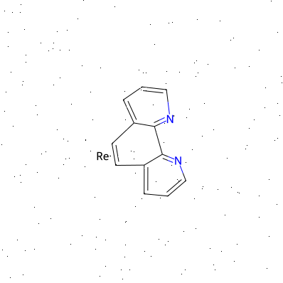 [Re].c1cnc2c(c1)ccc1cccnc12